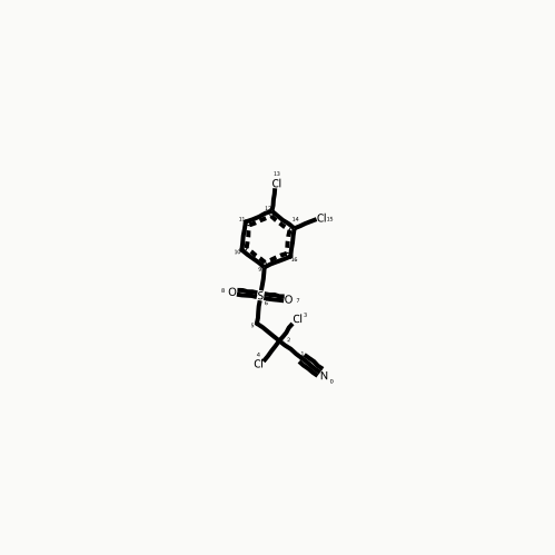 N#CC(Cl)(Cl)CS(=O)(=O)c1ccc(Cl)c(Cl)c1